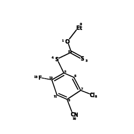 CCOC(=S)Sc1cc(Cl)c(C#N)cc1F